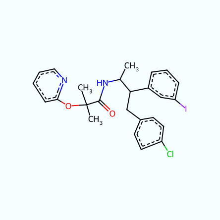 CC(NC(=O)C(C)(C)Oc1ccccn1)C(Cc1ccc(Cl)cc1)c1cccc(I)c1